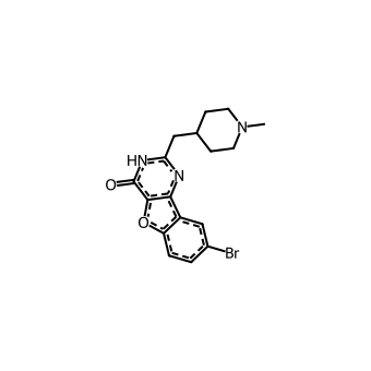 CN1CCC(Cc2nc3c(oc4ccc(Br)cc43)c(=O)[nH]2)CC1